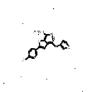 CC(=O)Nc1nnc(Cc2ccsc2)c2cc(-c3ccc(Cl)cc3)sc12